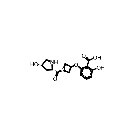 O=C(O)c1c(O)cccc1OC1CN(C(=O)[C@@H]2C[C@H](O)CN2)C1